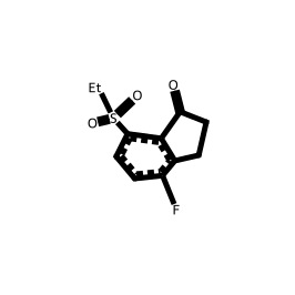 CCS(=O)(=O)c1ccc(F)c2c1C(=O)CC2